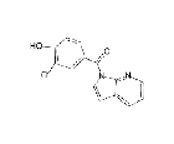 O=C(c1ccc(O)c(Cl)c1)n1ccc2cccnc21